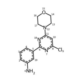 Nc1cccc(-c2nc(Cl)cc(N3CCOCC3)n2)c1